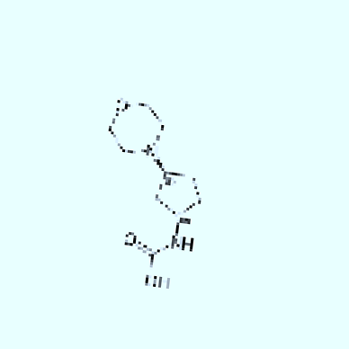 O=C(O)N[C@@H]1CC[C@H](N2CCOCC2)C1